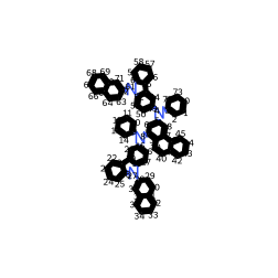 c1ccc(N(c2cc(N(c3ccccc3)c3ccc4c(c3)c3ccccc3n4-c3ccc4ccccc4c3)c3ccc4ccccc4c3c2)c2ccc3c(c2)c2ccccc2n3-c2ccc3ccccc3c2)cc1